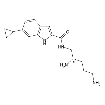 NCCC[C@H](N)CNC(=O)c1cc2ccc(C3CC3)cc2[nH]1